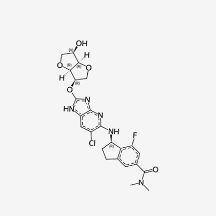 CN(C)C(=O)c1cc(F)c2c(c1)CC[C@H]2Nc1nc2nc(O[C@@H]3CO[C@H]4[C@@H]3OC[C@H]4O)[nH]c2cc1Cl